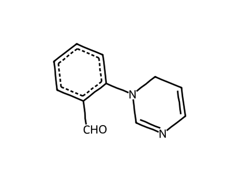 O=Cc1ccccc1N1C=NC=CC1